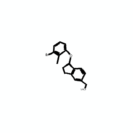 Cc1c(Br)cccc1OC1CCc2cc(CO)ccc21